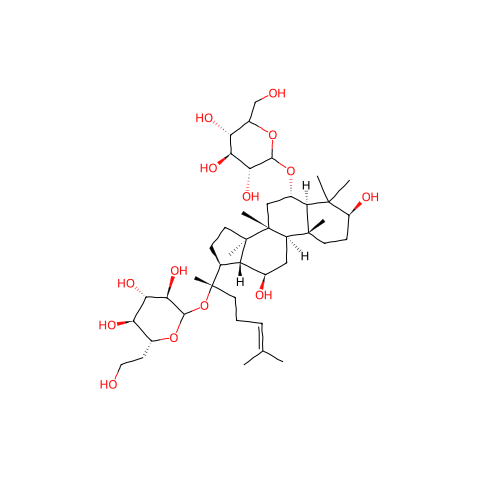 CC(C)=CCC[C@](C)(OC1O[C@H](CCO)[C@@H](O)[C@H](O)[C@H]1O)[C@H]1CC[C@]2(C)[C@@H]1[C@H](O)C[C@@H]1[C@@]3(C)CC[C@H](O)C(C)(C)[C@@H]3[C@@H](OC3OC(CO)[C@@H](O)[C@H](O)[C@H]3O)C[C@]12C